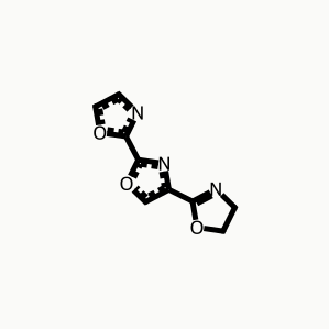 c1coc(-c2nc(C3=NCCO3)co2)n1